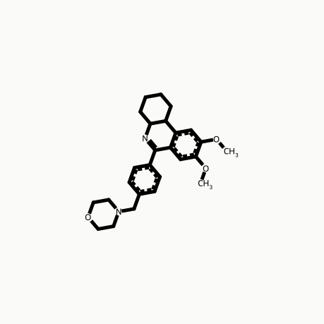 COc1cc2c(cc1OC)C1CCCCC1N=C2c1ccc(CN2CCOCC2)cc1